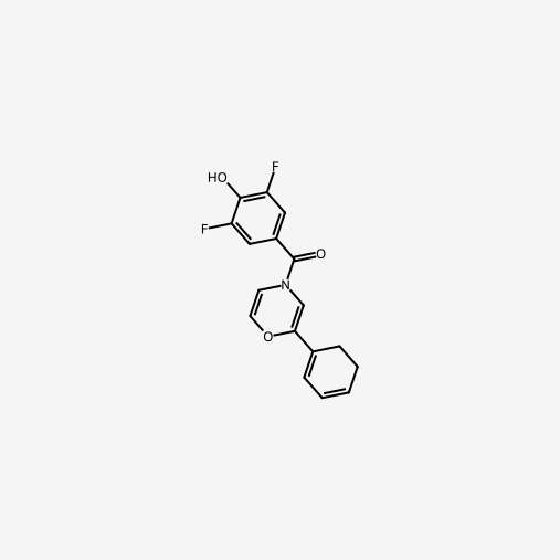 O=C(c1cc(F)c(O)c(F)c1)N1C=COC(C2=CC=CCC2)=C1